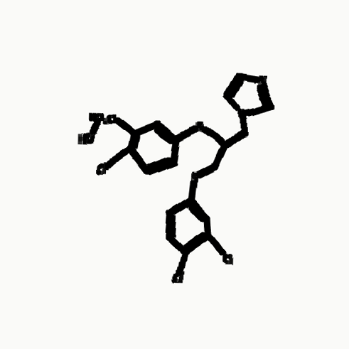 Clc1ccc(SCC(Cn2ccnc2)Sc2ccc(Cl)c(Cl)c2)cc1Cl.O=[N+]([O-])O